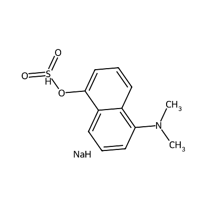 CN(C)c1cccc2c(O[SH](=O)=O)cccc12.[NaH]